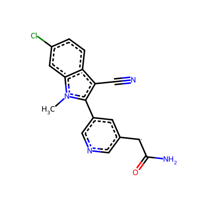 Cn1c(-c2cncc([CH]C(N)=O)c2)c(C#N)c2ccc(Cl)cc21